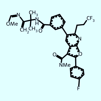 C=C(/N=C\OC)C(C)(C)NC(=O)c1cccc(-c2cc3c(C(=O)NC)c(-c4ccc(F)cc4)oc3nc2CCC(F)(F)F)c1